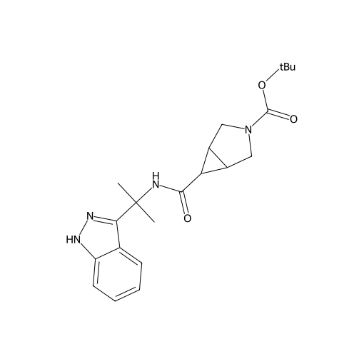 CC(C)(C)OC(=O)N1CC2C(C1)C2C(=O)NC(C)(C)c1n[nH]c2ccccc12